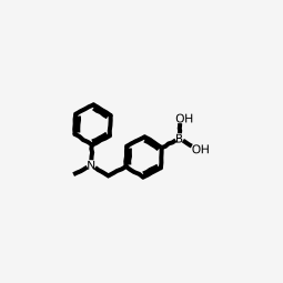 CN(Cc1ccc(B(O)O)cc1)c1ccccc1